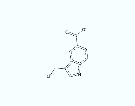 O=[N+]([O-])c1ccc2ncn(CCl)c2c1